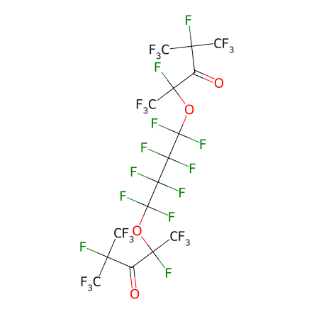 O=C(C(F)(OC(F)(F)C(F)(F)C(F)(F)C(F)(F)OC(F)(C(=O)C(F)(C(F)(F)F)C(F)(F)F)C(F)(F)F)C(F)(F)F)C(F)(C(F)(F)F)C(F)(F)F